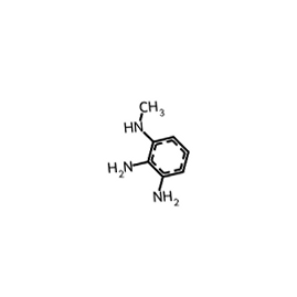 CNc1cccc(N)c1N